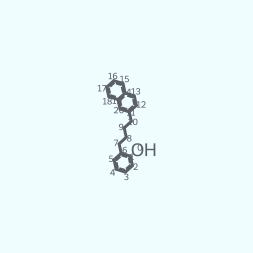 Oc1ccccc1CCCCc1ccc2ccccc2c1